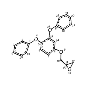 c1ccc(Oc2ccc(OC[C@H]3CO3)cc2Oc2ccccc2)cc1